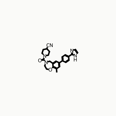 Cc1cc(-c2ccc(-c3ncc[nH]3)cc2)cc2c1OCCN(C(=O)N1CCC(C#N)CC1)C2